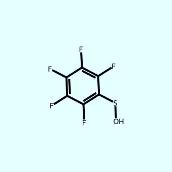 OSc1c(F)c(F)c(F)c(F)c1F